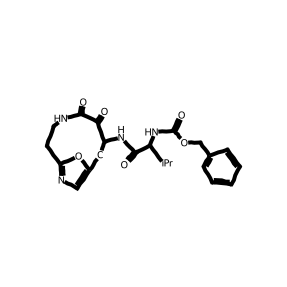 CC(C)C(NC(=O)OCc1ccccc1)C(=O)NC1Cc2cnc(o2)CCNC(=O)C1=O